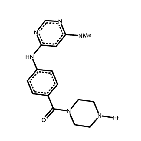 CCN1CCN(C(=O)c2ccc(Nc3cc(NC)ncn3)cc2)CC1